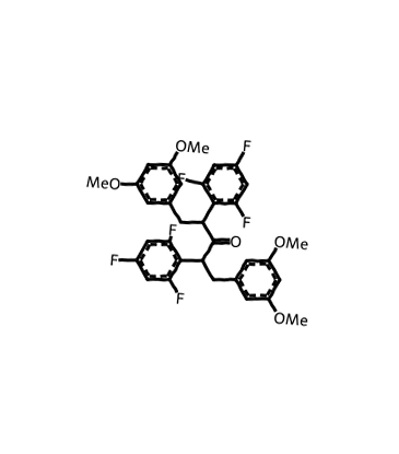 COc1cc(CC(C(=O)C(Cc2cc(OC)cc(OC)c2)c2c(F)cc(F)cc2F)c2c(F)cc(F)cc2F)cc(OC)c1